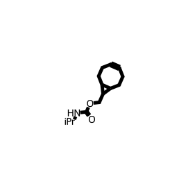 CC(C)NC(=O)OCC1C2CCC#CCCC21